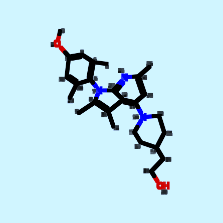 COc1cc(C)c(-n2c(C)c(C)c3c(N4CCC(CCO)CC4)cc(C)nc32)c(C)c1